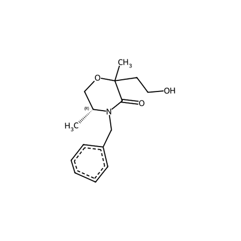 C[C@@H]1COC(C)(CCO)C(=O)N1Cc1ccccc1